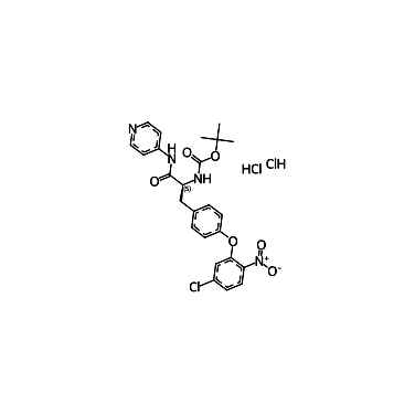 CC(C)(C)OC(=O)N[C@@H](Cc1ccc(Oc2cc(Cl)ccc2[N+](=O)[O-])cc1)C(=O)Nc1ccncc1.Cl.Cl